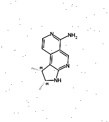 C[C@@H]1c2c(ncc3c(N)nccc23)N[C@@H]1C